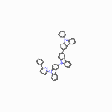 c1ccc(-c2cccc(-n3c4ccccc4c4cc(-n5c6ccccc6c6cc(-c7ccc8c(c7)c7ccccc7n8-c7ccccc7)ccc65)ccc43)n2)cc1